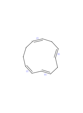 [C]1=C\C/C=C/C/C=C/C=C\CC/1